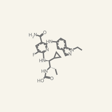 CC[C@H](NC(=O)O)[C@@H](Nc1nc(Nc2ccc3c(cnn3CC)c2)c(C(N)=O)cc1F)C1CC1